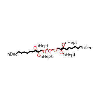 CCCCCCCCCCCCCCCCC(OCCCCCCC)=C(COCOCOCC(OCCCCCCC)=C(CCCCCCCCCCCCCCCC)OCCCCCCC)OCCCCCCC